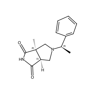 C[C@H](c1ccccc1)N1C[C@H]2C(=O)NC(=O)[C@@]2(C)C1